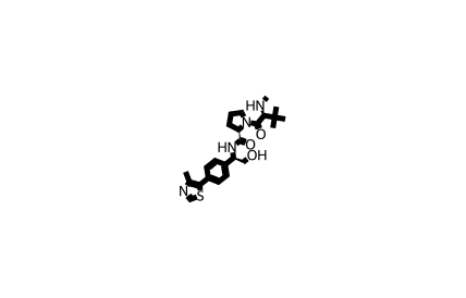 CN[C@H](C(=O)N1CCC[C@H]1C(=O)N[C@@H](CO)c1ccc(-c2scnc2C)cc1)C(C)(C)C